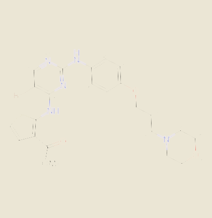 COC(=O)c1ccsc1Nc1nc(Nc2ccc(OCCCN3CCOCC3)cc2)ncc1Br